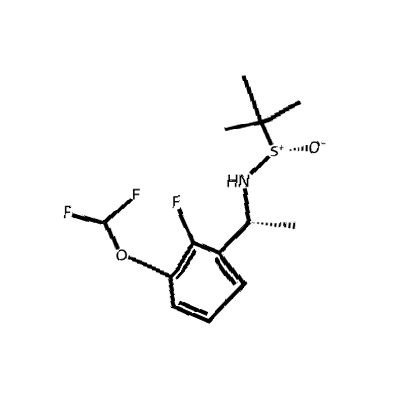 C[C@@H](N[S@@+]([O-])C(C)(C)C)c1cccc(OC(F)F)c1F